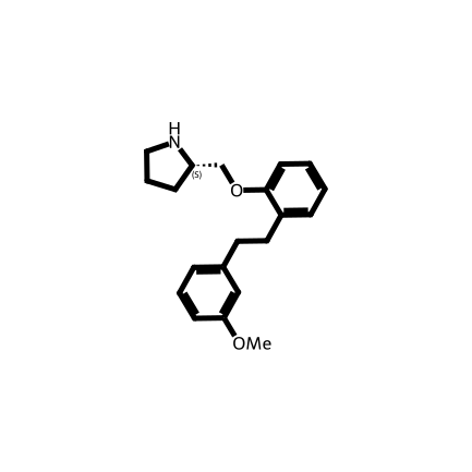 COc1cccc(CCc2ccccc2OC[C@@H]2CCCN2)c1